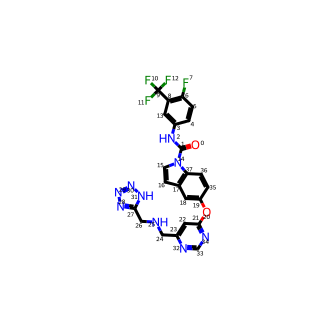 O=C(Nc1ccc(F)c(C(F)(F)F)c1)n1ccc2cc(Oc3cc(CNCc4nnn[nH]4)ncn3)ccc21